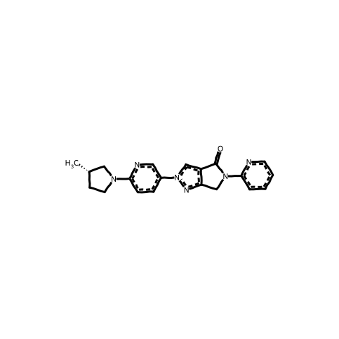 C[C@H]1CCN(c2ccc(-n3cc4c(n3)CN(c3ccccn3)C4=O)cn2)C1